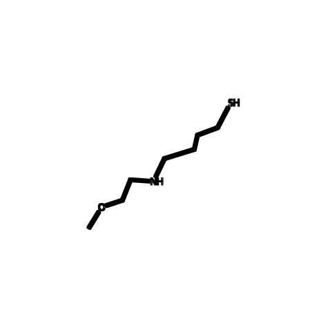 COCCNCCCCS